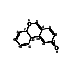 O=C1C=CC2=COC3C=CC=CC3C2=C1